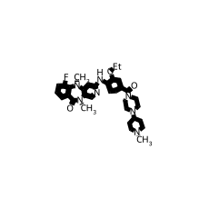 CCOc1cc(C(=O)N2CCN(C3CCN(C)CC3)CC2)ccc1Nc1cc2c(cn1)N(C)C(=O)c1cccc(F)c1N2C